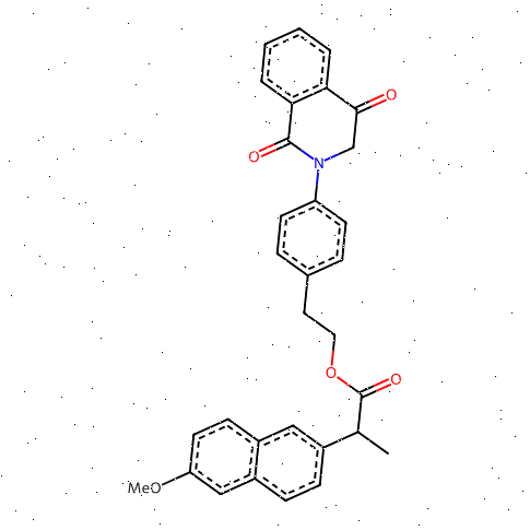 COc1ccc2cc(C(C)C(=O)OCCc3ccc(N4CC(=O)c5ccccc5C4=O)cc3)ccc2c1